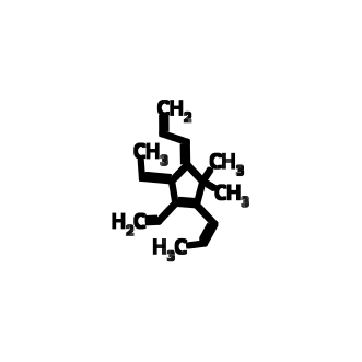 C=C/C=C1\C(=C/C)C(C=C)=C(/C=C\C)C1(C)C